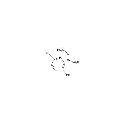 O=S(=O)(O)OOS(=O)(=O)O.Oc1ccc(Br)cc1